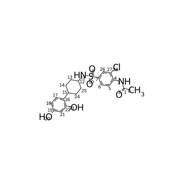 CC(=O)Nc1ccc(S(=O)(=O)NC2CCC(c3ccc(O)cc3O)CC2)cc1Cl